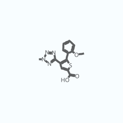 COc1ccccc1-c1sc(C(=O)O)cc1-c1nnn(C)n1